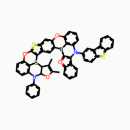 CC1=C(C)C2B3c4c(cccc4N(c4ccccc4)C2O1)Oc1sc2cc4c(cc2c13)B1c2oc3ccccc3c2N(c2ccc3sc5ccccc5c3c2)c2cccc(c21)O4